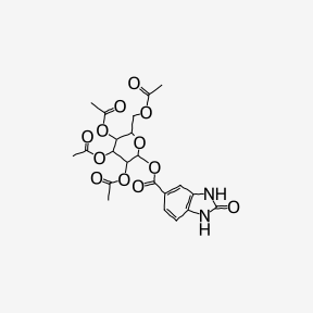 CC(=O)OCC1OC(OC(=O)c2ccc3[nH]c(=O)[nH]c3c2)C(OC(C)=O)C(OC(C)=O)C1OC(C)=O